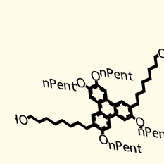 CCCCCOc1cc2c(cc1CCCCCCCCO)c1cc(OCCCCC)c(OCCCCC)cc1c1cc(CCCCCCCCO)c(OCCCCC)cc12